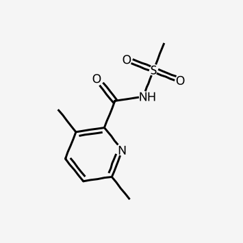 Cc1ccc(C)c(C(=O)NS(C)(=O)=O)n1